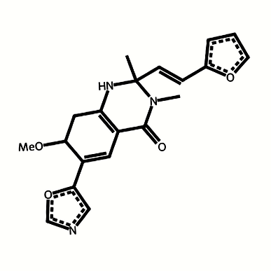 COC1CC2=C(C=C1c1cnco1)C(=O)N(C)C(C)(C=Cc1ccco1)N2